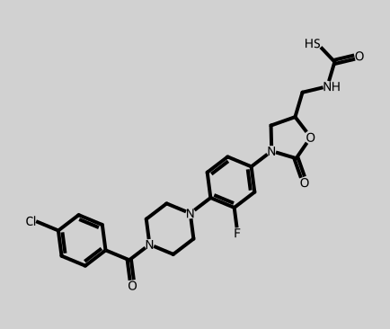 O=C(S)NCC1CN(c2ccc(N3CCN(C(=O)c4ccc(Cl)cc4)CC3)c(F)c2)C(=O)O1